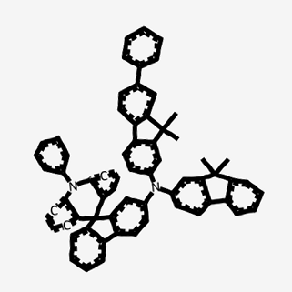 CC1(C)c2ccccc2-c2ccc(N(c3ccc4c(c3)C(C)(C)c3cc(-c5ccccc5)ccc3-4)c3ccc4c(c3)C3(c5ccccc5-4)c4ccccc4N(c4ccccc4)c4ccccc43)cc21